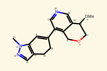 COC1COCc2c(C3=Cc4c(cnn4C)CC3)cncc21